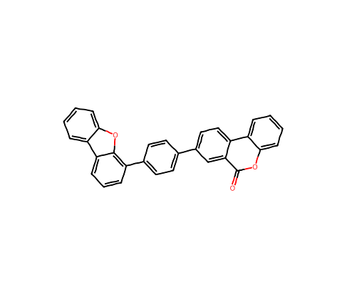 O=c1oc2ccccc2c2ccc(-c3ccc(-c4cccc5c4oc4ccccc45)cc3)cc12